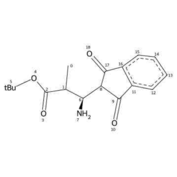 CC(C(=O)OC(C)(C)C)[C@H](N)C1C(=O)c2ccccc2C1=O